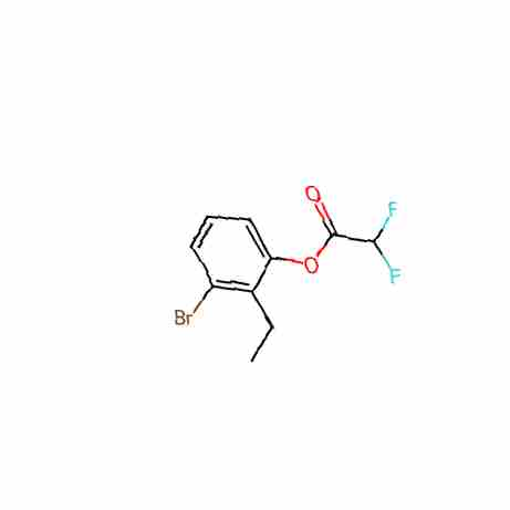 CCc1c(Br)cccc1OC(=O)C(F)F